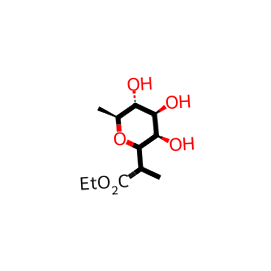 CCOC(=O)C(C)C1O[C@@H](C)[C@H](O)[C@@H](O)[C@H]1O